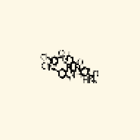 CNC(=O)c1ccc(-n2c(N[C@@H](C)c3ccc(C#N)cc3)nc3c(c2=O)C[C@@H](C)N(C(=O)c2ccc(Cl)c(Cl)c2)C3)cc1